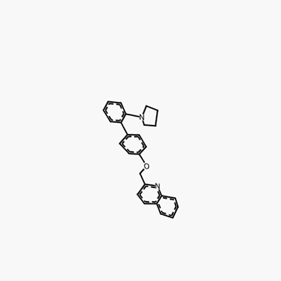 c1ccc(N2CCCC2)c(-c2ccc(OCc3ccc4ccccc4n3)cc2)c1